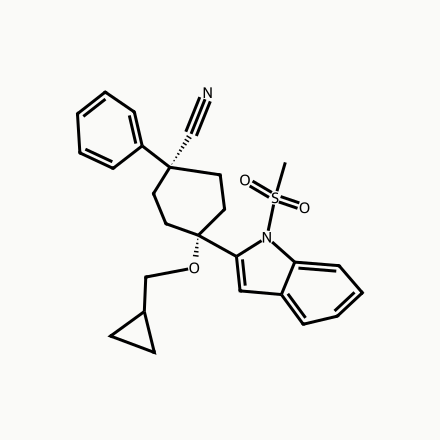 CS(=O)(=O)n1c2ccccc2cc1[C@]1(OCC2CC2)CC[C@](C#N)(c2ccccc2)CC1